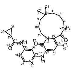 O=C1NCCCC(F)(F)CCCn2c1c(Cl)cc(Nc1cc(NC(=O)C3CC3)ncn1)c2=O